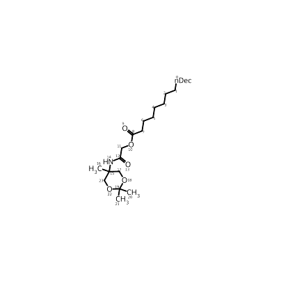 CCCCCCCCCCCCCCCCCC(=O)OCC(=O)NC1(C)COC(C)(C)OC1